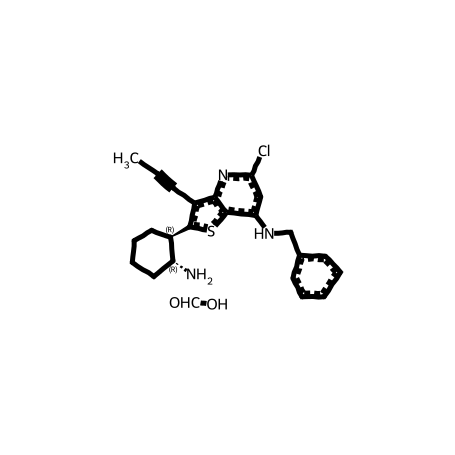 CC#Cc1c([C@@H]2CCCC[C@H]2N)sc2c(NCc3ccccc3)cc(Cl)nc12.O=CO